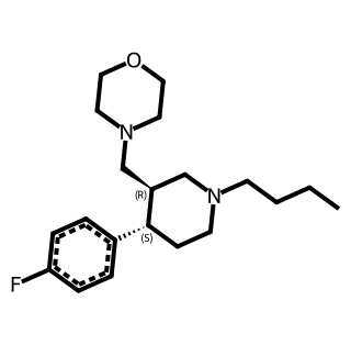 CCCCN1CC[C@H](c2ccc(F)cc2)[C@@H](CN2CCOCC2)C1